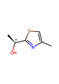 Cc1csc([C@H](C)O)n1